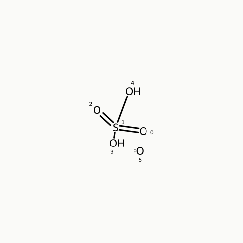 O=S(=O)(O)O.[O]